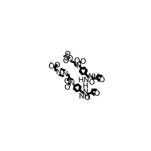 COC(=O)CN1CCN(CC2CN(c3ccc(C(=N)NC(=O)c4ccoc4)cc3)C(=O)O2)CC1.CS(=O)(=O)OCC1CN(c2ccc(C(=N)NC(=O)c3ccoc3)cc2)C(=O)O1